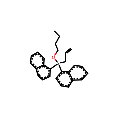 C=CC[Si](OCCCC)(c1cccc2ccccc12)c1cccc2ccccc12